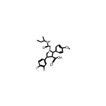 CCC(C)NC(=O)CN1CC(c2ccc(F)c(F)c2)C(C(=O)O)C1c1ccc(OC)cc1